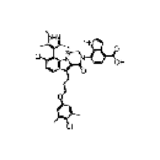 Cc1cc(OCCCc2c3n(c4c(-c5c(C)nn(C)c5C)c(Cl)ccc24)[C@H](C)CN(c2ccc(C(=O)O)c4ccn(C)c24)C3=O)cc(C)c1Cl